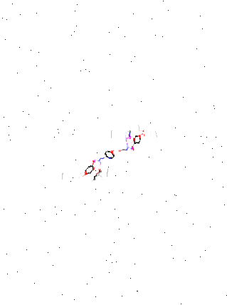 CCC(C)Oc1cc(OC)ccc1C(=O)NCCCOc1ccc(CCNC(=O)c2ccc(OC)cc2OC(C)CC)cc1